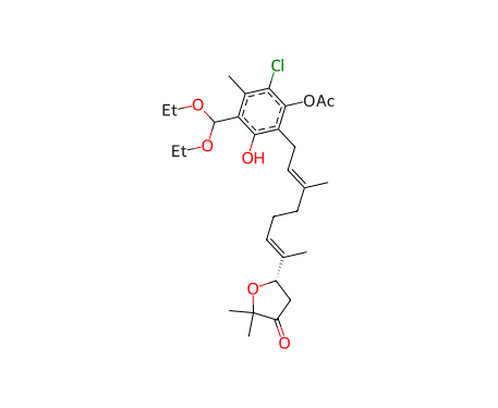 CCOC(OCC)c1c(C)c(Cl)c(OC(C)=O)c(C/C=C(\C)CC/C=C(\C)[C@@H]2CC(=O)C(C)(C)O2)c1O